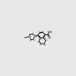 CN1CCN(c2ccc(C(=O)O)c3c2CCCC3)CC1